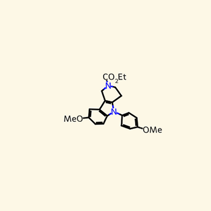 CCOC(=O)N1CCc2c(c3cc(OC)ccc3n2-c2ccc(OC)cc2)C1